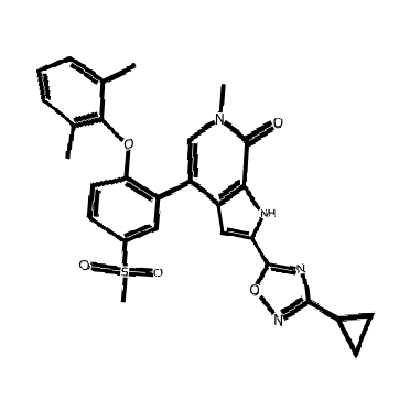 Cc1cccc(C)c1Oc1ccc(S(C)(=O)=O)cc1-c1cn(C)c(=O)c2[nH]c(-c3nc(C4CC4)no3)cc12